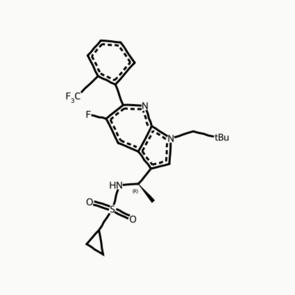 C[C@@H](NS(=O)(=O)C1CC1)c1cn(CC(C)(C)C)c2nc(-c3ccccc3C(F)(F)F)c(F)cc12